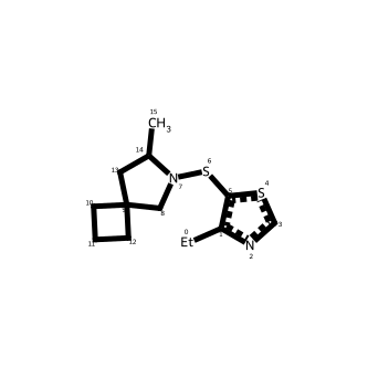 CCc1ncsc1SN1CC2(CCC2)CC1C